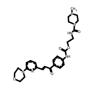 CN1CCN(C(=O)NCCOC(=O)Nc2ccc(C(=O)C=Cc3cccc(N4CCOCC4)n3)cc2)CC1